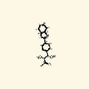 CC(=O)[C@@H](O)[C@H](O)c1ccc(-c2nc3ccccc3o2)cc1